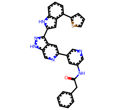 O=C(Cc1ccccc1)Nc1cncc(-c2cc3c(-c4cc5c(-c6cccs6)cccc5[nH]4)n[nH]c3cn2)c1